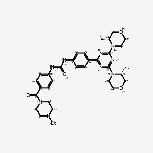 CCN1CCN(C(=O)c2ccc(NC(=O)Nc3ccc(-c4nc(N5CCOC[C@H]5C)nc(N5CCOC[C@@H]5C)n4)cc3)cc2)CC1